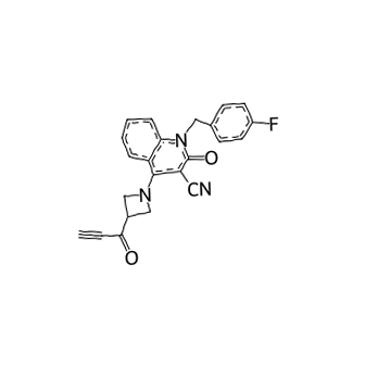 C#CC(=O)C1CN(c2c(C#N)c(=O)n(Cc3ccc(F)cc3)c3ccccc23)C1